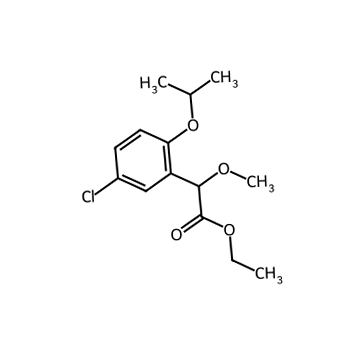 CCOC(=O)C(OC)c1cc(Cl)ccc1OC(C)C